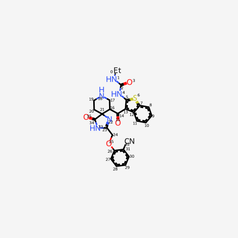 CCNC(=O)Nc1sc2ccccc2c1C(=O)C1CNCCC12N=C(COc1ccccc1C#N)NC2=O